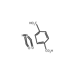 N=C=O.N=C=O.O=C(O)c1ccc(C(=O)O)cc1